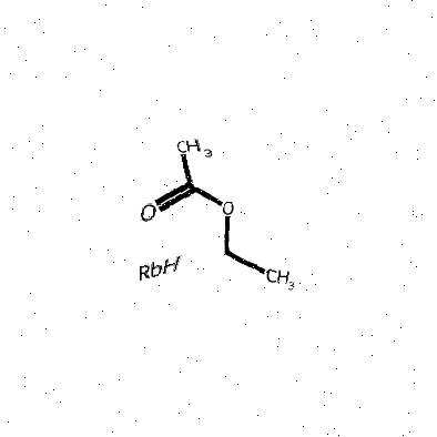 CCOC(C)=O.[RbH]